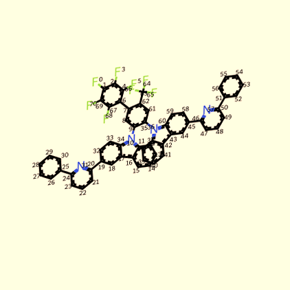 Fc1c(F)c(F)c(-c2cc(-n3c4ccccc4c4cc(-c5cccc(-c6ccccc6)n5)ccc43)c(-n3c4ccccc4c4cc(-c5cccc(-c6ccccc6)n5)ccc43)cc2C(F)(F)F)c(F)c1F